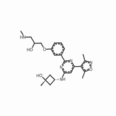 CNCC(O)COc1cccc(-c2nc(N[C@H]3C[C@@](C)(O)C3)cc(-c3c(C)noc3C)n2)c1